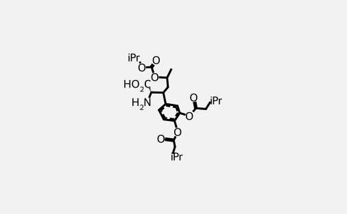 CC(C)CC(=O)Oc1ccc(C(CC(C)OC(=O)OC(C)C)[C@H](N)C(=O)O)cc1OC(=O)CC(C)C